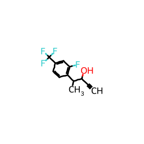 C#CC(O)C(C)c1ccc(C(F)(F)F)cc1F